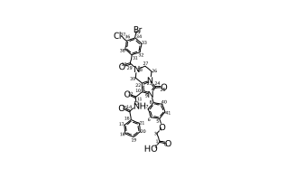 O=C(O)COc1ccc(-n2c(C(=O)NC(=O)c3ccccc3)c3n(c2=O)CCN(C(=O)c2ccc(Br)c(Cl)c2)C3)cc1